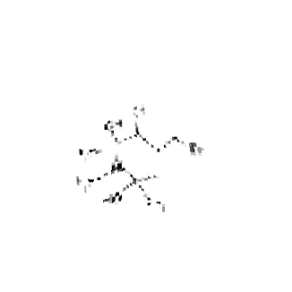 CC(C)CC1CC(O)(C(F)(F)F)N(C)C(O)(C(F)(F)F)C1C